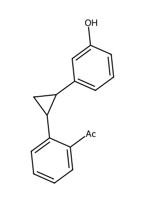 CC(=O)c1ccccc1C1CC1c1cccc(O)c1